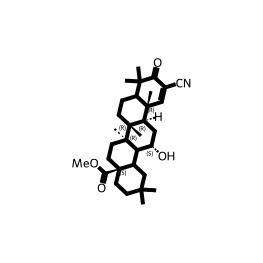 COC(=O)[C@]12CCC(C)(C)CC1C1[C@@H](O)C[C@@H]3[C@@]4(C)C=C(C#N)C(=O)C(C)(C)C4CC[C@@]3(C)[C@]1(C)CC2